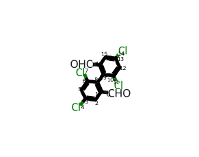 O=Cc1cc(Cl)cc(Cl)c1-c1c(Cl)cc(Cl)cc1C=O